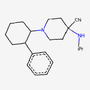 CC(C)NC1(C#N)CCN(C2CCCCC2c2ccccc2)CC1